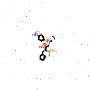 CC(C)CN(C[C@@H](O)[C@H](Cc1ccccc1)NP)S(=O)(=O)c1ccc(NP)cc1